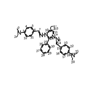 CN(C)c1ccc(C=Nn2cc[n+](N=Cc3ccc(N(C)C)cc3)c2-c2ccccc2)cc1.[Cl-]